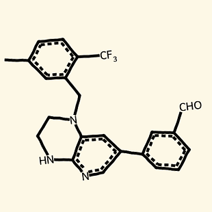 Cc1ccc(C(F)(F)F)c(CN2CCNc3ncc(-c4cccc(C=O)c4)cc32)c1